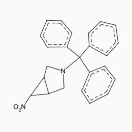 O=[N+]([O-])C1C2CN(C(c3ccccc3)(c3ccccc3)c3ccccc3)CC21